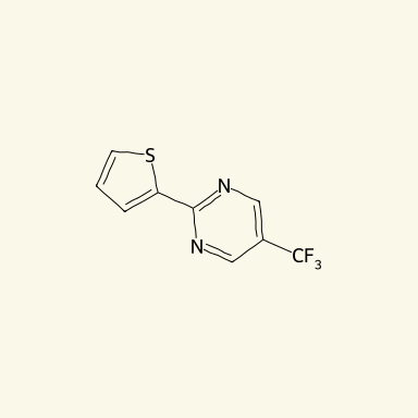 FC(F)(F)c1cnc(-c2cccs2)nc1